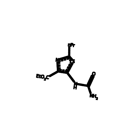 CCCc1nc(C(=O)OCC)c(NC(N)=O)s1